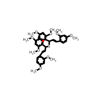 COc1ccc(C=CC(SC(C=Cc2ccc(OC)cc2OC)c2ccc(OC)cc2OC)c2ccc(OC)cc2OC)c(OC)c1